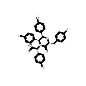 O=C(O)[C@@H](c1ccc(Cl)cc1)N1C(=O)[C@@H](Cc2ccc(F)cc2)O[C@H](c2ccc(Cl)cc2)[C@@H]1c1ccc(Cl)cc1